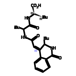 CCC(C)C(NC(=O)/C=C1/c2ccccc2C(=O)NC1C(C)CC)C(=O)N[C@H](C(=O)O)[C@@H](C)CC